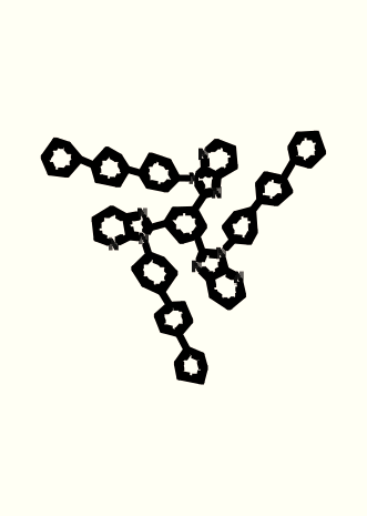 c1ccc(-c2ccc(-c3ccc(-n4c(-c5cc(-c6nc7cccnc7n6-c6ccc(-c7ccc(-c8ccccc8)cc7)cc6)cc(-c6nc7cccnc7n6-c6ccc(-c7ccc(-c8ccccc8)cc7)cc6)c5)nc5cccnc54)cc3)cc2)cc1